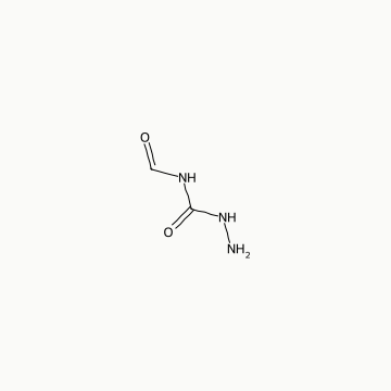 NNC(=O)NC=O